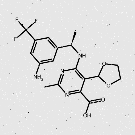 Cc1nc(N[C@H](C)c2cc(N)cc(C(F)(F)F)c2)c(C2OCCO2)c(C(=O)O)n1